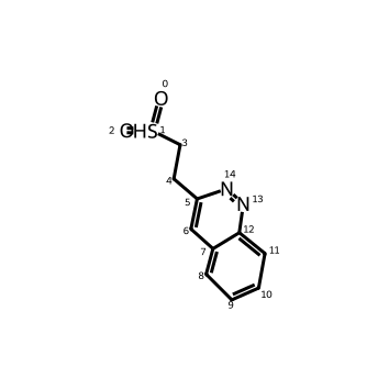 O=[SH](=O)CCc1cc2ccccc2nn1